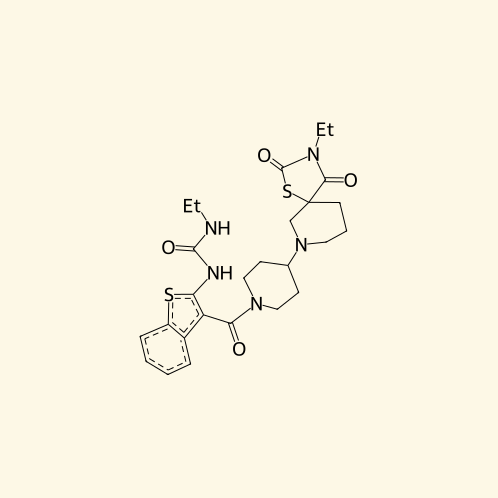 CCNC(=O)Nc1sc2ccccc2c1C(=O)N1CCC(N2CCCC3(C2)SC(=O)N(CC)C3=O)CC1